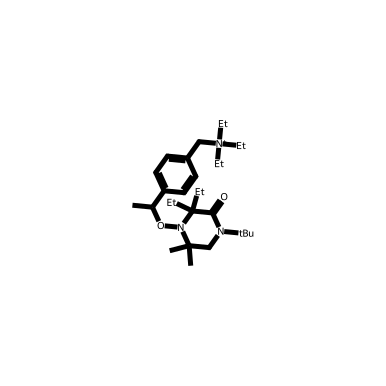 CCC1(CC)C(=O)N(C(C)(C)C)CC(C)(C)N1OC(C)c1ccc(C[N+](CC)(CC)CC)cc1